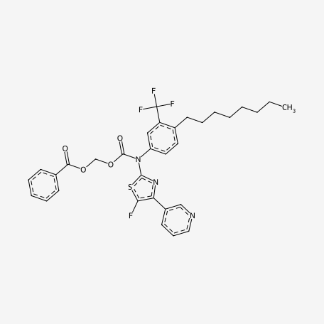 CCCCCCCCc1ccc(N(C(=O)OCOC(=O)c2ccccc2)c2nc(-c3cccnc3)c(F)s2)cc1C(F)(F)F